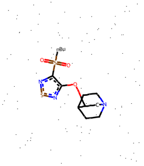 CCCCS(=O)(=O)c1nsnc1OC1CN2CCC1CC2